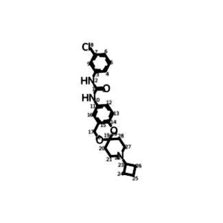 O=C(Nc1cccc(Cl)c1)Nc1ccc2c(c1)COC1(CCN(C3CCC3)CC1)O2